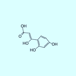 O=C(O)/C=C(\O)c1ccc(O)cc1O